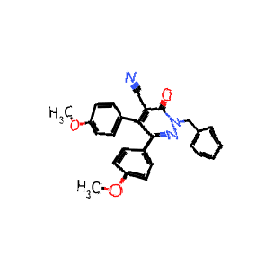 COc1ccc(-c2nn(Cc3ccccc3)c(=O)c(C#N)c2-c2ccc(OC)cc2)cc1